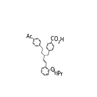 CCCOc1ccccc1/C=C/C(CCc1ccc(C(C)=O)cc1)Cc1ccc(C(=O)O)cc1